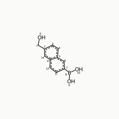 OCc1ccc2cc(B(O)O)ccc2c1